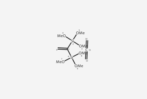 C=C([Si](OC)(OC)OC)[Si](OC)(OC)OC.C=C=C